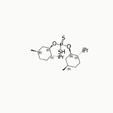 CC(C)[C@@H]1CC[C@@H](C)C[C@H]1OP(=S)(S)O[C@@H]1C[C@H](C)CC[C@H]1C(C)C